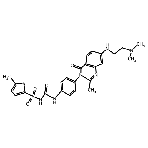 Cc1ccc(S(=O)(=O)NC(=O)Nc2ccc(-n3c(C)nc4cc(NCCN(C)C)ccc4c3=O)cc2)s1